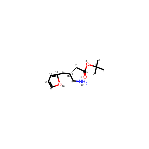 CC(C)(C)OC(=O)C[C@H](CN)Cc1ccco1